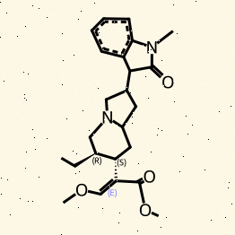 CC[C@H]1CN2CC(C3C(=O)N(C)c4ccccc43)CC2C[C@@H]1/C(=C\OC)C(=O)OC